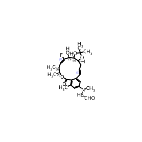 Cc1cc(N(C)BC=O)cc2c1C(=O)O[C@@H](C)[C@H](C)/C=C(/F)[C@@H](O)[C@H]1OC(C)(C)O[C@H]1C/C=C/2